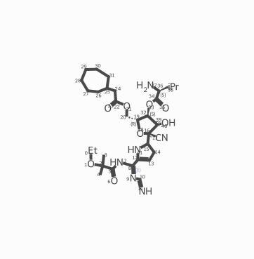 CCOC(C)(C)C(=O)N/C(=N/C=N)C1=CCC([C@]2(C#N)O[C@H](COC(=O)CC3CCCCCC3)[C@@H](OC(=O)[C@@H](N)C(C)C)[C@H]2O)N1